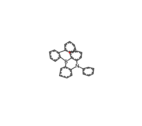 c1ccc(-c2ccccc2B2c3ccccc3N(c3ccccc3)c3ccccc32)cc1